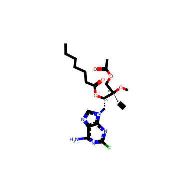 C#C[C@](COC(C)=O)(OC)[C@H](Cn1cnc2c(N)nc(F)nc21)OC(=O)CCCCCC